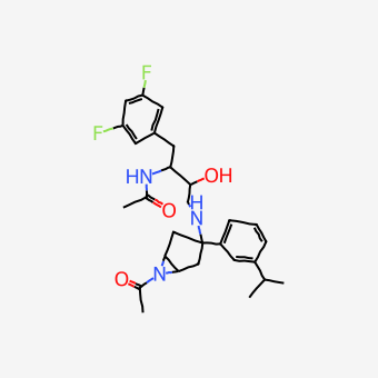 CC(=O)NC(Cc1cc(F)cc(F)c1)C(O)CNC1(c2cccc(C(C)C)c2)CC2C(C1)N2C(C)=O